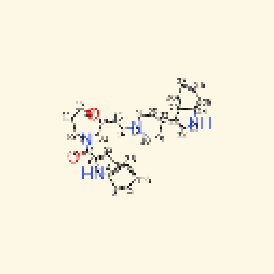 Cc1ccc2[nH]c(C(=O)N3CCCOC(CCN4CCC(c5c[nH]c6ccccc56)CC4)C3)cc2c1